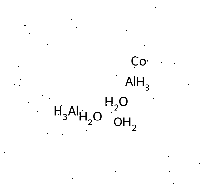 O.O.O.[AlH3].[AlH3].[Co]